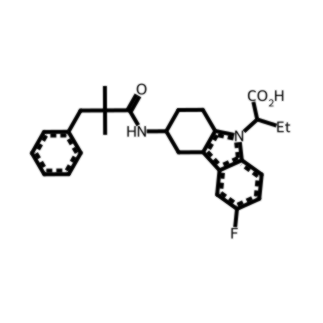 CCC(C(=O)O)n1c2c(c3cc(F)ccc31)CC(NC(=O)C(C)(C)Cc1ccccc1)CC2